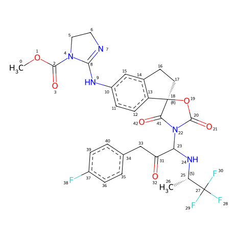 COC(=O)N1CCN=C1Nc1ccc2c(c1)CC[C@@]21OC(=O)N(C(N[C@@H](C)C(F)(F)F)C(=O)Cc2ccc(F)cc2)C1=O